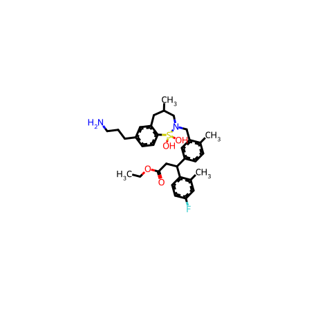 CCOC(=O)CC(c1ccc(C)c(CN2CC(C)Cc3cc(CCCN)ccc3S2(O)O)c1)c1ccc(F)cc1C